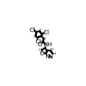 Cc1cc(Cl)cc(Cl)c1CC(=O)NC1COc2nnccc21